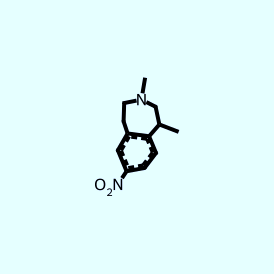 CC1CN(C)CCc2cc([N+](=O)[O-])ccc21